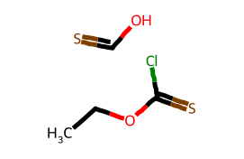 CCOC(=S)Cl.OC=S